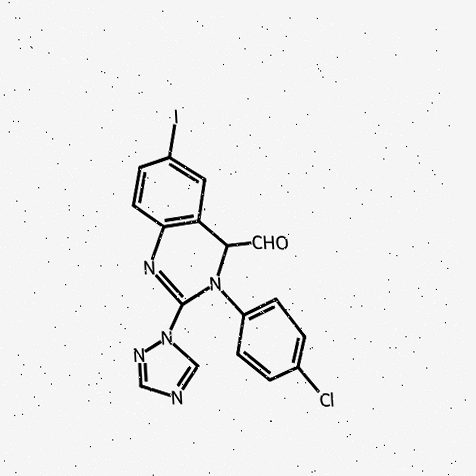 O=CC1c2cc(I)ccc2N=C(n2cncn2)N1c1ccc(Cl)cc1